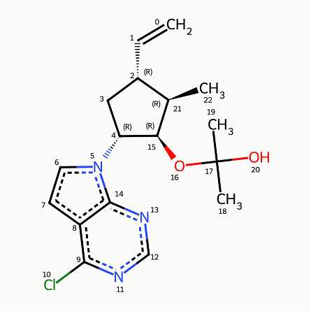 C=C[C@H]1C[C@@H](n2ccc3c(Cl)ncnc32)[C@H](OC(C)(C)O)[C@@H]1C